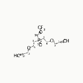 C#CCOCCP(=O)(CCOCC#C)COC(F)(F)F